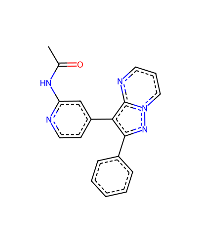 CC(=O)Nc1cc(-c2c(-c3ccccc3)nn3cccnc23)ccn1